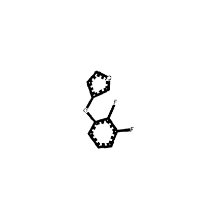 Fc1cccc(Oc2c[c]oc2)c1F